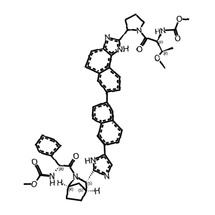 COC(=O)N[C@H](C(=O)N1CCCC1c1nc2ccc3cc(-c4ccc5cc(-c6cnc([C@@H]7[C@H]8CC[C@H](C8)N7C(=O)[C@H](NC(=O)OC)c7ccccc7)[nH]6)ccc5c4)ccc3c2[nH]1)[C@@H](C)OC